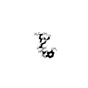 Cc1cccc2nnc(NNC(=O)[C@H](CCCC(C)C)CN(O)C=O)nc12